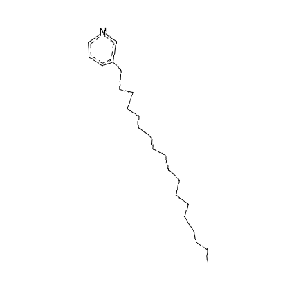 CCCCCCCCCCCCCCCCCCc1cccnc1